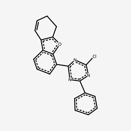 Clc1nc(-c2ccccc2)nc(-c2cccc3c4c(oc23)CCC=C4)n1